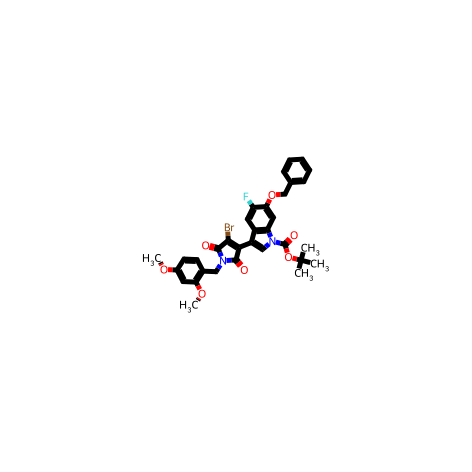 COc1ccc(CN2C(=O)C(Br)=C(c3cn(C(=O)OC(C)(C)C)c4cc(OCc5ccccc5)c(F)cc34)C2=O)c(OC)c1